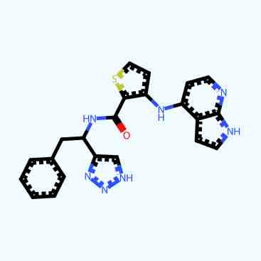 O=C(NC(Cc1ccccc1)c1c[nH]nn1)c1sccc1Nc1ccnc2[nH]ccc12